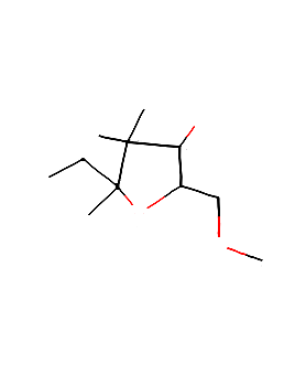 CCC1(C)OC(COC)C(O)C1(C)C